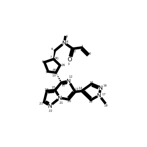 C=CC(=O)N(C)C[C@@H]1CC[C@@H](c2nc(-c3cnn(C)c3)cn3nccc23)C1